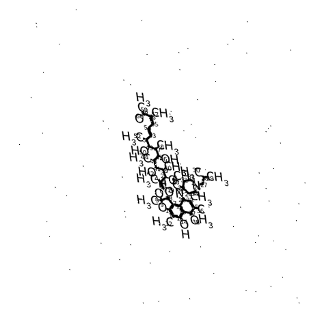 CO[C@@H](/C(C)=C/O[C@@]1(C)Oc2c(C)c(O)c3c(c2C1=O)/C(=N/C1(C)CCN(CC(C)C)CC1)C(C)=C(C)C3=O)[C@@H](C)[C@@H](O)[C@H](C)[C@H](O)[C@H](C)[C@@H](O)[C@@H](C)/C=C/C=C(/C)C(C)=O